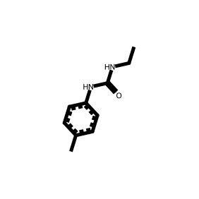 CCNC(=O)Nc1ccc(C)cc1